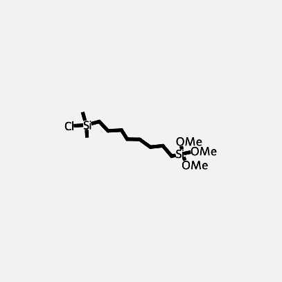 CO[Si](CCCCCCCC[Si](C)(C)Cl)(OC)OC